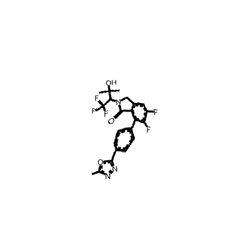 Cc1nnc(-c2ccc(-c3c(F)c(F)cc4c3C(=O)N(C(C(C)(C)O)C(F)(F)F)C4)cc2)o1